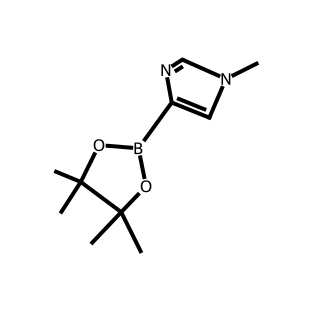 Cn1cnc(B2OC(C)(C)C(C)(C)O2)c1